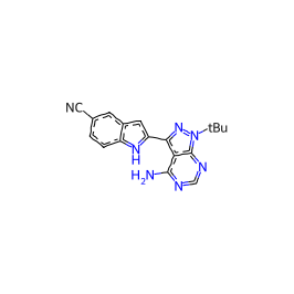 CC(C)(C)n1nc(-c2cc3cc(C#N)ccc3[nH]2)c2c(N)ncnc21